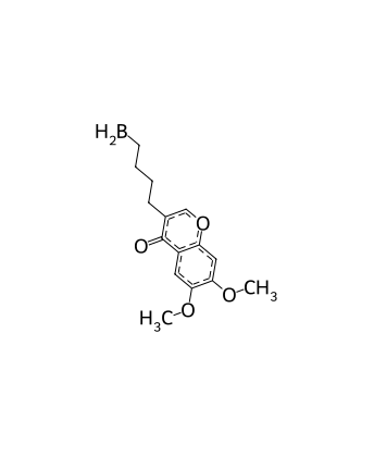 BCCCCc1coc2cc(OC)c(OC)cc2c1=O